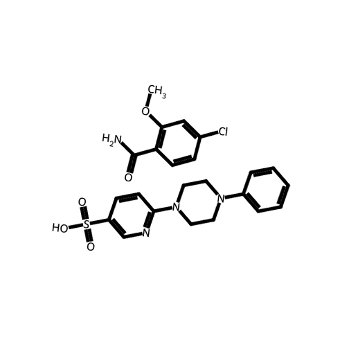 COc1cc(Cl)ccc1C(N)=O.O=S(=O)(O)c1ccc(N2CCN(c3ccccc3)CC2)nc1